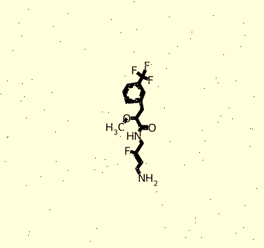 COC(Cc1cccc(C(F)(F)F)c1)C(=O)NCC(F)=CCN